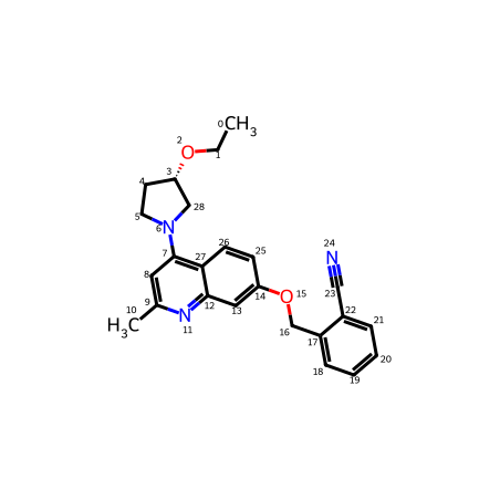 CCO[C@H]1CCN(c2cc(C)nc3cc(OCc4ccccc4C#N)ccc23)C1